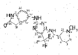 CN1CCCC(CNc2nc(Nc3ccc4c(c3)CC(=O)N4)ncc2C(F)(F)F)C1